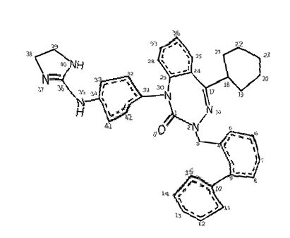 O=C1N(Cc2ccccc2-c2ccccc2)N=C(C2CCCCC2)c2ccccc2N1c1ccc(NC2=NCCN2)cc1